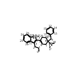 CCCc1c(C2=CCC(Cc3ccccc3)(N(C)C)CC2)[nH]c2ccccc12